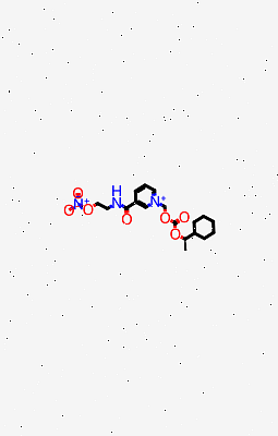 C[C@@H](OC(=O)OC[n+]1cccc(C(=O)NCCO[N+](=O)[O-])c1)C1CCCCC1